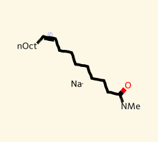 CCCCCCCC/C=C\CCCCCCCC(=O)NC.[Na]